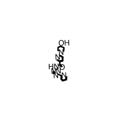 O=C(Nc1ncnc(-c2ccccn2)n1)c1ccc(N2CCC(O)CC2)nc1